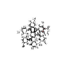 Cc1ccc(-c2cc(C)ccc2N2c3ccc(C)cc3B3c4cc(C)ccc4N(c4ccc(C)cc4)c4cc(N(c5cccc(C)c5)c5cccc(C)c5)cc2c43)cc1